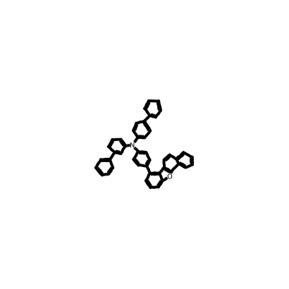 c1ccc(-c2ccc(N(c3ccc(-c4cccc5oc6c7ccccc7ccc6c45)cc3)c3cccc(-c4ccccc4)c3)cc2)cc1